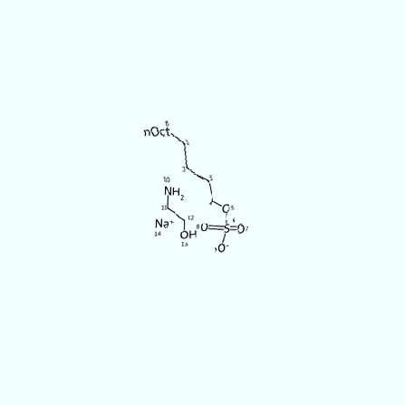 CCCCCCCCCCCCOS(=O)(=O)[O-].NCCO.[Na+]